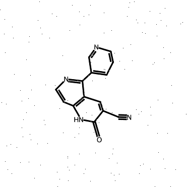 N#Cc1cc2c(-c3cccnc3)nccc2[nH]c1=O